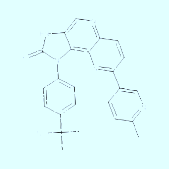 Cc1ccc(-c2ccc3ncc4[nH]c(=O)n(-c5ccc(C(C)(C)C#N)cc5)c4c3n2)cn1